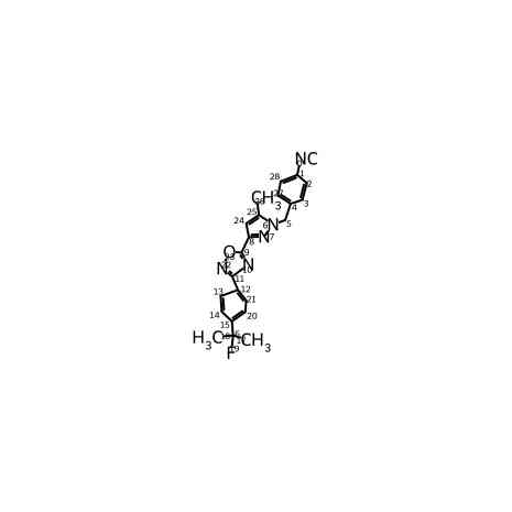 [C-]#[N+]c1ccc(Cn2nc(-c3nc(-c4ccc(C(C)(C)F)cc4)no3)cc2C)cc1